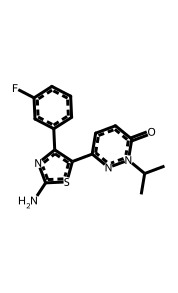 CC(C)n1nc(-c2sc(N)nc2-c2cccc(F)c2)ccc1=O